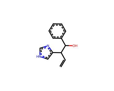 C=CC(c1c[nH]cn1)C(O)c1ccccc1